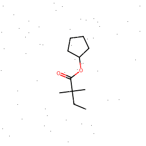 CCC(C)(C)C(=O)OC1CCCC1